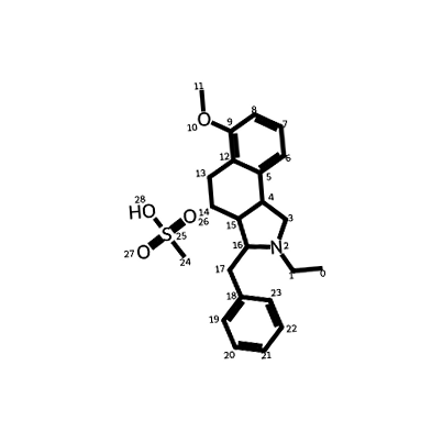 CCN1CC2c3cccc(OC)c3CCC2C1Cc1ccccc1.CS(=O)(=O)O